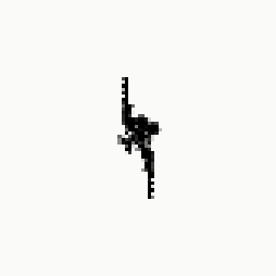 CCCCCCCCOC(=O)Oc1ccc(C(=O)Oc2c3c(c(OC(=O)c4ccc(OC(=O)OCCCCCCCC)cc4)c4c2C(C)c2ccccc2C4c2ccccc2C)SC(=C(C#N)C#N)S3)cc1